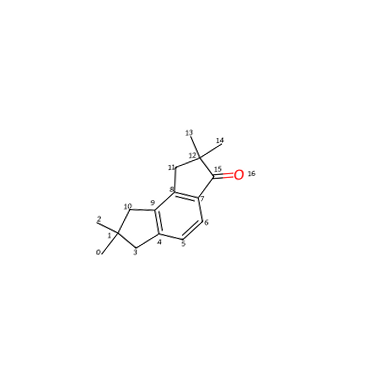 CC1(C)Cc2ccc3c(c2C1)CC(C)(C)C3=O